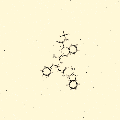 CC(C)(C)NC(=O)CC[C@H](Cc1ccccc1)[C@@H](O)C[C@H](CC(=O)N[C@H]1c2ccccc2C[C@H]1O)Cc1ccccc1